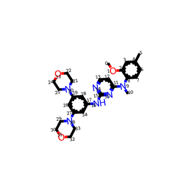 COc1cc(C)ccc1N(C)c1ccnc(Nc2cc(N3CCOCC3)cc(N3CCOCC3)c2)n1